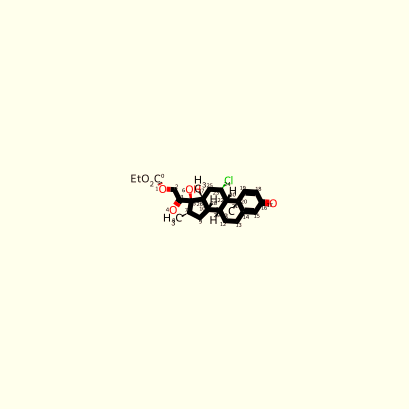 CCOC(=O)OCC(=O)[C@@]1(O)[C@@H](C)C[C@H]2[C@@H]3CCC4=CC(=O)C=C[C@]4(C)[C@H]3[C@@H](Cl)C[C@@]21C